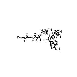 CCC(O)C=CC12N=CN=C(N)C1=NCN2[C@@H]1O[C@H](COP(=O)(O)OP(=O)(O)OCC(C)(C)C(O)C(=O)NCCC(=O)NCCS)[C@@H](OP(=O)(O)O)[C@H]1O